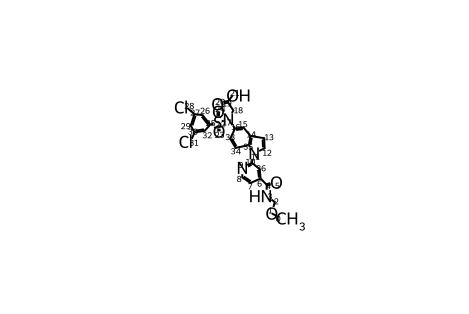 COCNC(=O)c1ccnc(-n2ccc3cc(N(CC(=O)O)S(=O)(=O)c4cc(Cl)cc(Cl)c4)ccc32)c1